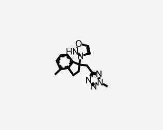 Cc1cccc2c1CCC2(Cc1nnn(C)n1)N1C=CON1